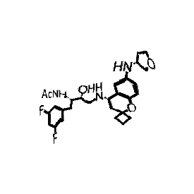 CC(=O)N[C@@H](Cc1cc(F)cc(F)c1)[C@H](O)CN[C@H]1CC2(CCC2)Oc2ccc(N[C@@H]3CCOC3)cc21